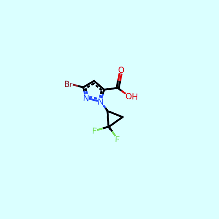 O=C(O)c1cc(Br)nn1C1CC1(F)F